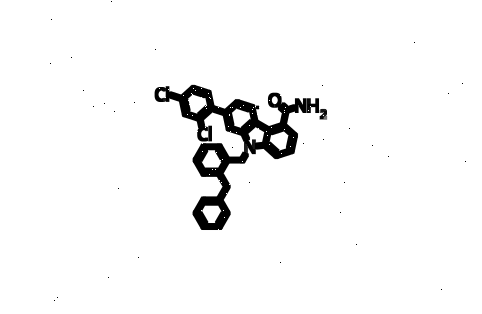 NC(=O)c1cccc2c1c1[c]cc(-c3ccc(Cl)cc3Cl)cc1n2Cc1ccccc1Cc1ccccc1